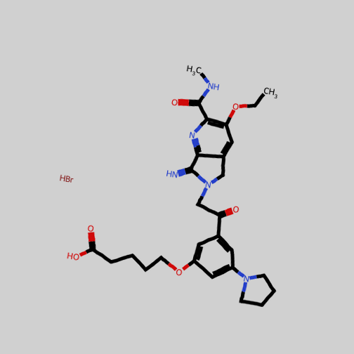 Br.CCOc1cc2c(nc1C(=O)NC)C(=N)N(CC(=O)c1cc(OCCCCC(=O)O)cc(N3CCCC3)c1)C2